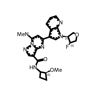 CNc1cc(-c2cn([C@H]3COC[C@H]3F)c3ncccc23)nc2c(C(=O)NC3CC[C@@H]3OC)cnn12